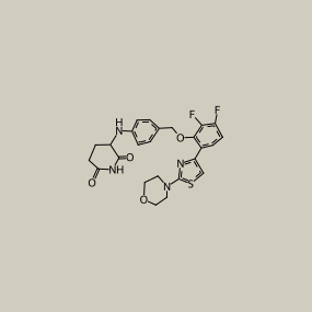 O=C1CCC(Nc2ccc(COc3c(-c4csc(N5CCOCC5)n4)ccc(F)c3F)cc2)C(=O)N1